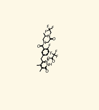 Cc1c(C)c(=O)[nH][n+](OC(=O)C(F)(F)F)c1Cc1ccc(F)c(C(=O)N2CC(=O)N(CC(F)(F)F)C(C)C2)c1